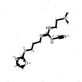 CN(C)CCN/C(=N/CCCSc1ncco1)NC#N